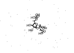 O=P(O)(O)CP(=O)(O)O[C@H]1O[C@H](COP(=O)(O)O)[C@@H](O)[C@H]1O